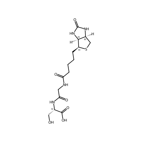 O=C(CCCC[C@@H]1SC[C@@H]2NC(=O)N[C@@H]21)NCC(=O)N[C@@H](CO)C(=O)O